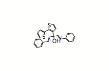 OC(/C=C/c1ccccc1)(/C=C/c1ccccc1)c1ccsc1-c1cccs1